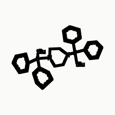 CC(C)(C)S(c1ccccc1)(c1ccccc1)N1CCN(S(c2ccccc2)(c2ccccc2)C(C)(C)C)CC1